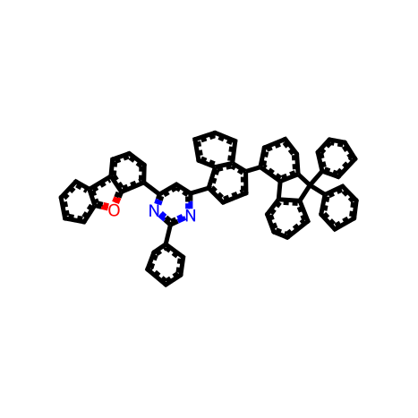 c1ccc(-c2nc(-c3ccc(-c4cccc5c4-c4ccccc4C5(c4ccccc4)c4ccccc4)c4ccccc34)cc(-c3cccc4c3oc3ccccc34)n2)cc1